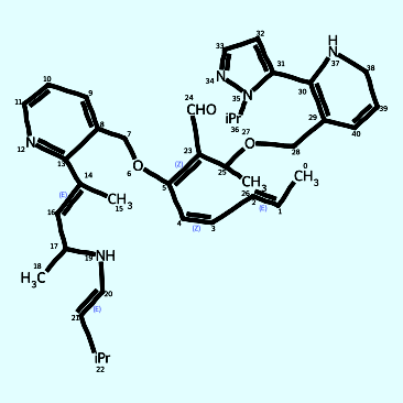 C/C=C/C=C\C(OCc1cccnc1/C(C)=C/C(C)N/C=C/C(C)C)=C(\C=O)C(C)OCC1=C(c2ccnn2C(C)C)NCC=C1